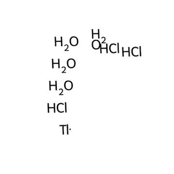 Cl.Cl.Cl.O.O.O.O.[Tl]